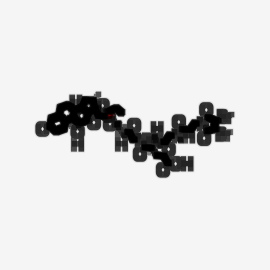 CCC(=O)O[C@]1(C(=O)COCNC(=O)CNC(=O)[C@H](CCC(=O)O)NC(=O)CNC(=O)CCN2C(=O)C(Br)=C(Br)C2=O)[C@@H](C)CC2[C@@H]3CCC4=CC(=O)C=C[C@]4(C)[C@@]3(Cl)[C@@H](O)C[C@@]21C